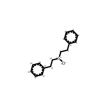 [O-][S+](CCc1ccccc1)CCc1ccccc1